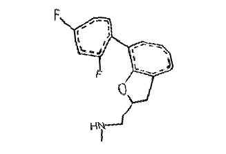 CNCC1Cc2cccc(-c3ccc(F)cc3F)c2O1